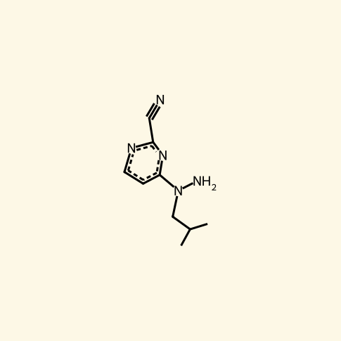 CC(C)CN(N)c1ccnc(C#N)n1